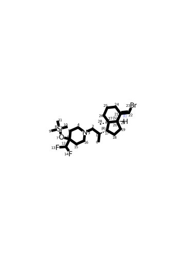 CC(CN1CCC(O[Si](C)(C)C)(C(F)F)CC1)[C@H]1CC[C@@H]2/C(=C/Br)CCC[C@@]21C